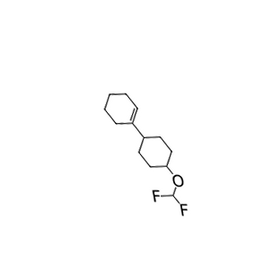 FC(F)OC1CCC(C2=CCCCC2)CC1